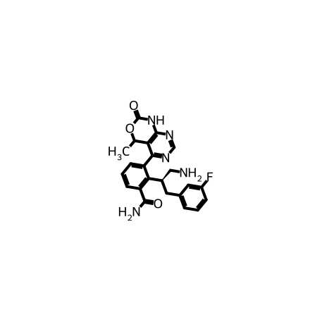 CC1OC(=O)Nc2ncnc(-c3cccc(C(N)=O)c3[C@@H](CN)Cc3cccc(F)c3)c21